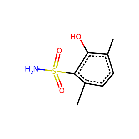 Cc1ccc(C)c(S(N)(=O)=O)c1O